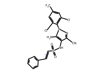 N#Cc1nn(-c2c(Cl)cc(C(F)(F)F)cc2Cl)c(N)c1NS(=O)(=O)/C=C/c1ccccc1